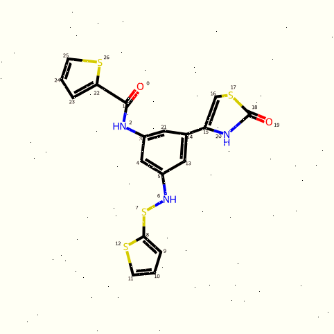 O=C(Nc1cc(NSc2cccs2)cc(-c2csc(=O)[nH]2)c1)c1cccs1